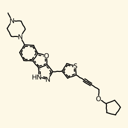 CN1CCN(c2ccc3c(c2)oc2c(-c4csc(C#CCOC5CCCC5)c4)n[nH]c23)CC1